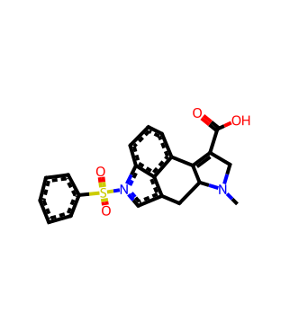 CN1CC(C(=O)O)=C2c3cccc4c3c(cn4S(=O)(=O)c3ccccc3)CC21